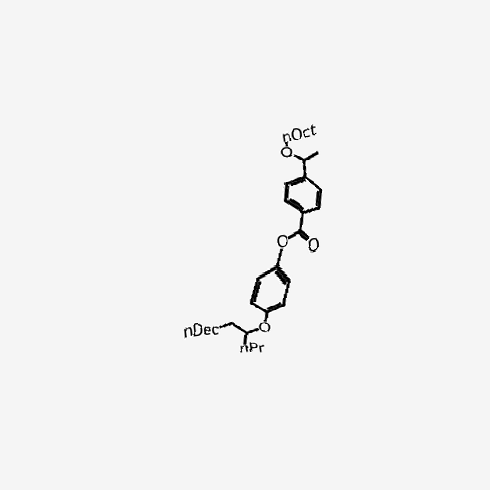 CCCCCCCCCCCC(CCC)Oc1ccc(OC(=O)c2ccc(C(C)OCCCCCCCC)cc2)cc1